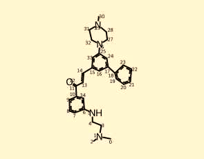 CN(C)CCNc1cccc(C(=O)C=Cc2cc(-c3ccccc3)cc(N3CCN(C)CC3)c2)c1